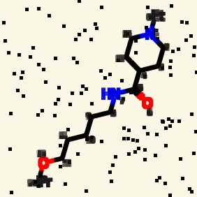 CCN1CCC(C(=O)NCCCCCOC(C)C)CC1